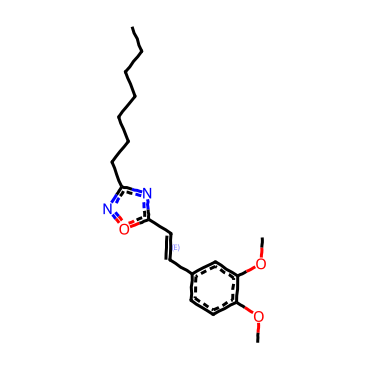 CCCCCCCc1noc(/C=C/c2ccc(OC)c(OC)c2)n1